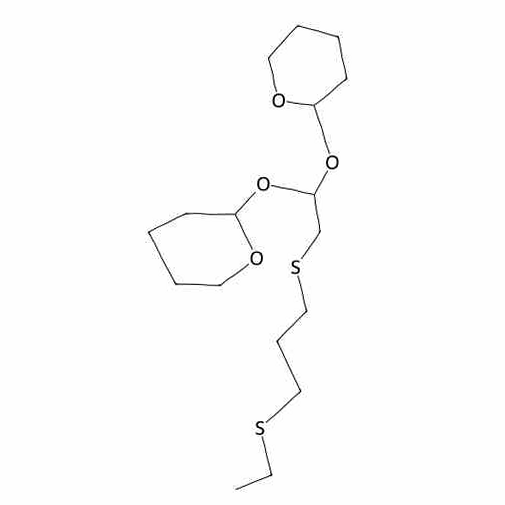 CCSCCCSCC(OC1CCCCO1)OC1CCCCO1